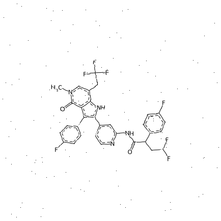 Cn1cc(CC(F)(F)F)c2[nH]c(-c3ccnc(NC(=O)C(CC(F)F)c4ccc(F)cc4)c3)c(-c3ccc(F)cc3)c2c1=O